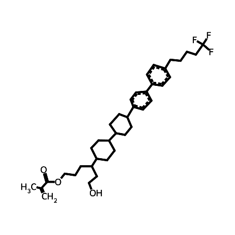 C=C(C)C(=O)OCCCC(CCO)C1CCC(C2CCC(c3ccc(-c4ccc(CCCCC(F)(F)F)cc4)cc3)CC2)CC1